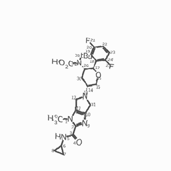 Cn1c(C(=O)NC2CC2)nc2c1CN([C@H]1CO[C@H](c3cc(F)ccc3F)[C@@H](N(C(=O)O)C(C)(C)C)C1)C2